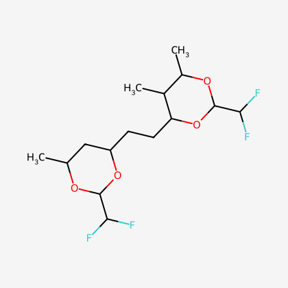 CC1CC(CCC2OC(C(F)F)OC(C)C2C)OC(C(F)F)O1